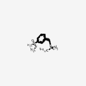 CN=S(C)(=O)c1cccc(CN(C)C)c1